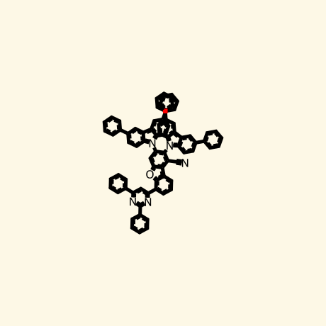 N#Cc1c(-n2c3ccc(-c4ccccc4)cc3c3cc(-c4ccccc4)ccc32)c(-n2c3ccc(-c4ccccc4)cc3c3cc(-c4ccccc4)ccc32)cc2oc3c(-c4cc(-c5ccccc5)nc(-c5ccccc5)n4)cccc3c12